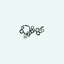 C=CC(=O)N1CCN(c2cc3cnc4nc3n(c2=O)CC/C=C\COc2cccc(c2)N4)c2cccc(C)c21